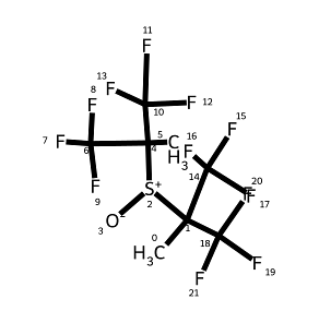 CC([S+]([O-])C(C)(C(F)(F)F)C(F)(F)F)(C(F)(F)F)C(F)(F)F